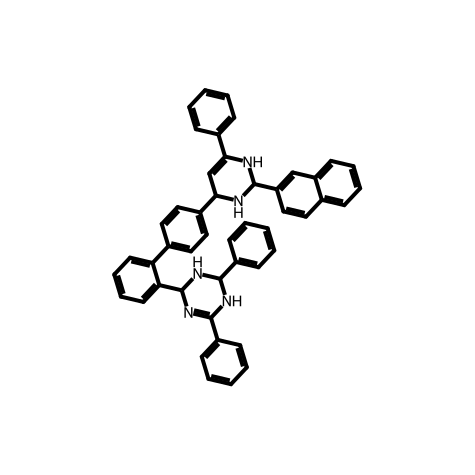 C1=C(c2ccccc2)NC(c2ccc3ccccc3c2)NC1c1ccc(-c2ccccc2C2N=C(c3ccccc3)NC(c3ccccc3)N2)cc1